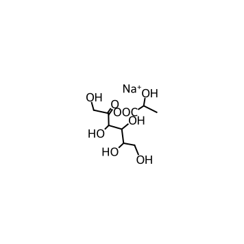 CC(O)C(=O)[O-].O=C(CO)C(O)C(O)C(O)CO.[Na+]